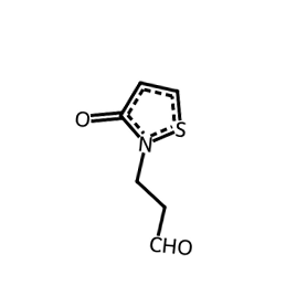 O=CCCn1sccc1=O